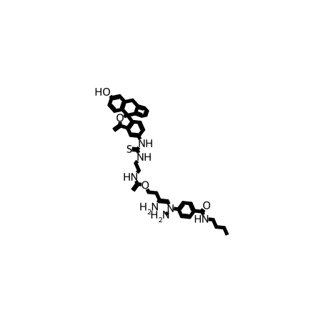 C=C(NCCNC(=S)Nc1ccc2c(c1)C(=C)OC21c2ccccc2Cc2cc(O)ccc21)OCC/C(N)=C/N(N)c1ccc(C(=O)NCCCC)cc1